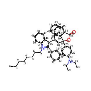 CCCCCCCCn1c(-c2ccccc2)c(/C(=C/C2(c3ccc(N(CC)CC)cc3)OC(=O)c3ccccc32)c2ccccc2)c2ccccc21